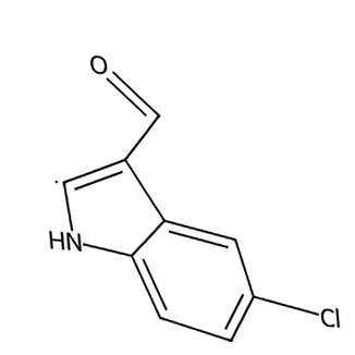 O=Cc1[c][nH]c2ccc(Cl)cc12